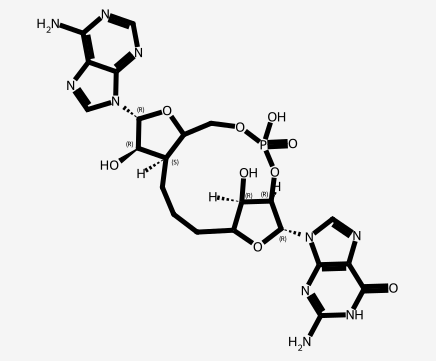 Nc1nc2c(ncn2[C@@H]2OC3CCC[C@@H]4C(COP(=O)(O)O[C@@H]2[C@@H]3O)O[C@@H](n2cnc3c(N)ncnc32)[C@@H]4O)c(=O)[nH]1